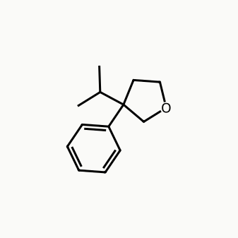 CC(C)C1(c2ccccc2)CCOC1